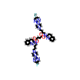 O=C(/C=C/C(=O)ON(CCCCN1CCN(c2ncc(F)cn2)CC1)C1=Nc2ccccc2CC1)ON(CCCCN1CCN(c2ncc(F)cn2)CC1)C1=Nc2ccccc2CC1